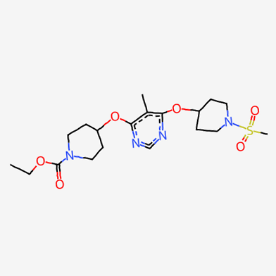 CCOC(=O)N1CCC(Oc2ncnc(OC3CCN(S(C)(=O)=O)CC3)c2C)CC1